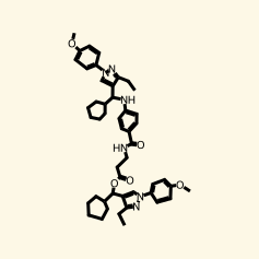 CCc1nn(-c2ccc(OC)cc2)cc1C(Nc1ccc(C(=O)NCCC(=O)OC(c2cn(-c3ccc(OC)cc3)nc2CC)C2CCCCC2)cc1)C1CCCCC1